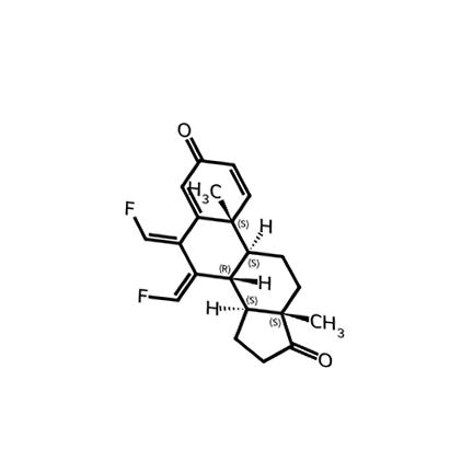 C[C@]12C=CC(=O)C=C1C(=CF)C(=CF)[C@@H]1[C@@H]2CC[C@]2(C)C(=O)CC[C@@H]12